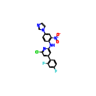 O=[N+]([O-])c1cc(-n2ccnc2)ccc1Nc1cc(-c2ccc(F)cc2F)cc(Cl)n1